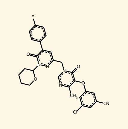 Cc1ncn(Cc2cc(-c3ccc(F)cc3)c(=O)n(C3CCCCO3)n2)c(=O)c1Oc1cc(Cl)cc(C#N)c1